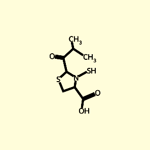 CC(C)C(=O)C1SCC(C(=O)O)N1S